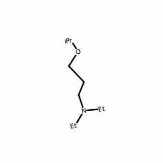 CCN(CC)CCCOC(C)C